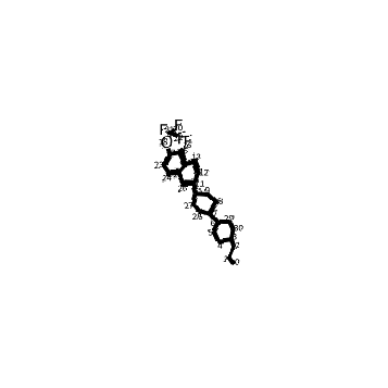 CCCC1CCC(C2CCC(c3ccc4c(F)c(OC(F)(F)F)ccc4c3)CC2)CC1